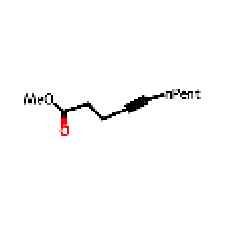 [CH2]CCCCC#CCCC(=O)OC